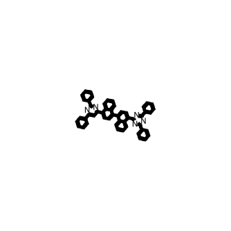 c1ccc(-c2cc(-c3ccc(-c4ccc(-c5nc(-c6ccccc6)nc(-c6ccccc6)n5)c5ccccc45)c4ccccc34)nc(-c3ccccc3)n2)cc1